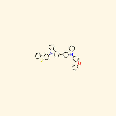 c1ccc2c(c1)oc1ccc(-n3c4ccccc4c4cc(-c5ccc6c(c5)c5ccccc5n6-c5ccc6sc7ccccc7c6c5)ccc43)cc12